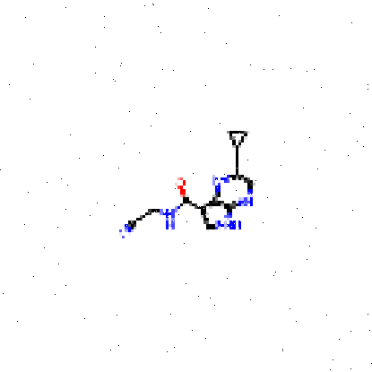 N#CCNC(=O)c1c[nH]c2ncc(C3CC3)nc12